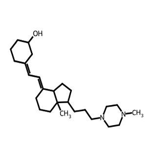 CN1CCN(CCCC2CCC3/C(=C/C=C4/CCCC(O)C4)CCCC23C)CC1